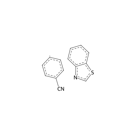 N#Cc1cc[c]cc1.c1ccc2scnc2c1